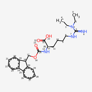 CCN(CC)C(=N)NCCCC[C@@H](NC(=O)OCC1c2ccccc2-c2ccccc21)C(=O)O